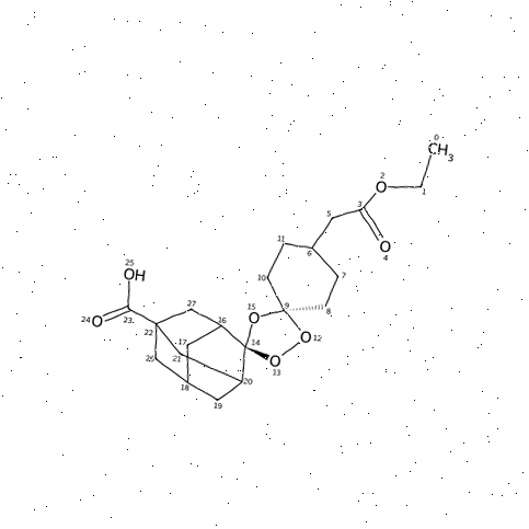 CCOC(=O)CC1CC[C@]2(CC1)OO[C@]1(O2)C2CC3CC1CC(C(=O)O)(C3)C2